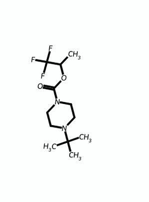 CC(OC(=O)N1CCN(C(C)(C)C)CC1)C(F)(F)F